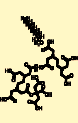 O.O.O=C(O)CN(CCN(CC(=O)O)CC(=O)O)CC(=O)O.O=C(O)CN(CCN(CC(=O)O)CC(=O)OC(CC(=O)O)(CC(=O)O)C(=O)O)CC(=O)O.[NaH].[NaH].[NaH].[NaH].[NaH].[NaH].[NaH]